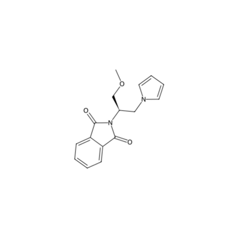 COC[C@@H](Cn1cccc1)N1C(=O)c2ccccc2C1=O